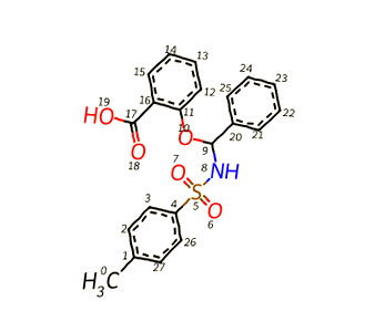 Cc1ccc(S(=O)(=O)NC(Oc2ccccc2C(=O)O)c2ccccc2)cc1